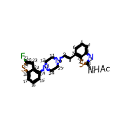 CC(=O)Nc1nc2cccc(CCN3CCN(c4cccc5sc(F)cc45)CC3)c2s1